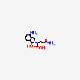 NC(=O)CCC(C(=O)O)N1Cc2c(N)cccc2C1O